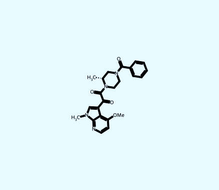 COc1ccnc2c1c(C(=O)C(=O)N1CCN(C(=O)c3ccccc3)C[C@H]1C)cn2C